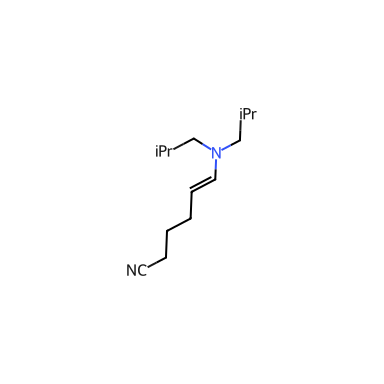 CC(C)CN(C=CCCCC#N)CC(C)C